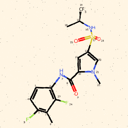 Cc1c(F)ccc(NC(=O)c2cc(S(=O)(=O)N[C@@H](C)C(F)(F)F)cn2C)c1F